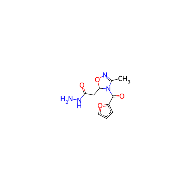 CC1=NOC(CC(=O)NN)N1C(=O)c1ccco1